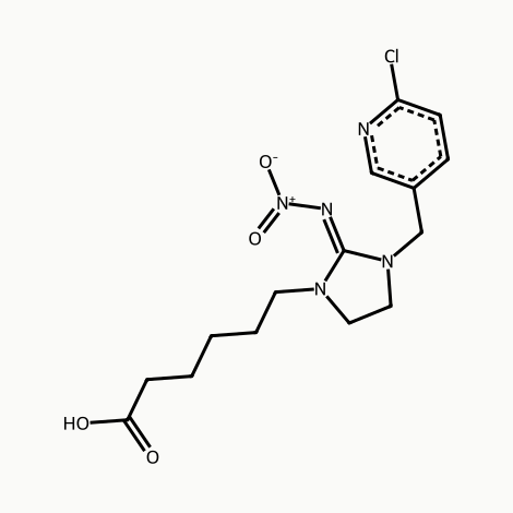 O=C(O)CCCCCN1CCN(Cc2ccc(Cl)nc2)C1=N[N+](=O)[O-]